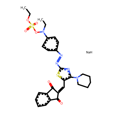 CCOS(=O)(=O)ON(CC)c1ccc(N=Nc2nc(N3CCCCC3)c(C=C3C(=O)c4ccccc4C3=O)s2)cc1.[NaH]